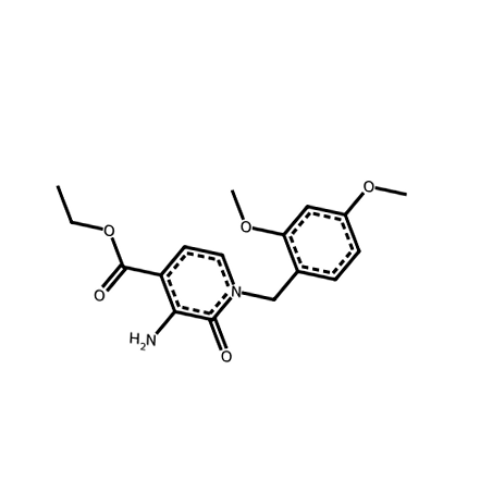 CCOC(=O)c1ccn(Cc2ccc(OC)cc2OC)c(=O)c1N